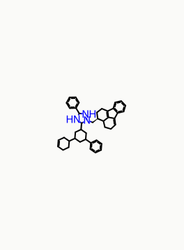 C1=CCC(C2CC(c3ccccc3)CC(C3NC(c4ccccc4)NN3C[C@H]3CCC4=C5C(=CCCC53)c3ccccc34)C2)CC1